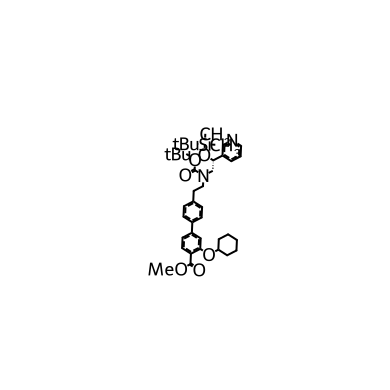 COC(=O)c1ccc(-c2ccc(CCN(C[C@H](O[Si](C)(C)C(C)(C)C)c3cccnc3)C(=O)OC(C)(C)C)cc2)cc1OC1CCCCC1